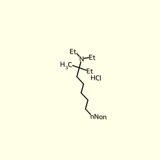 CCCCCCCCCCCCCCC(C)(CC)N(CC)CC.Cl